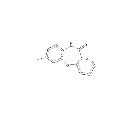 Cc1ccc2c(c1)Oc1ccccc1C(=O)N2